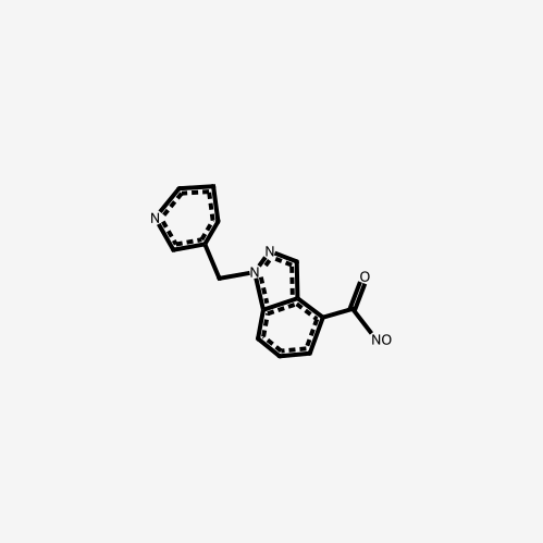 O=NC(=O)c1cccc2c1cnn2Cc1cccnc1